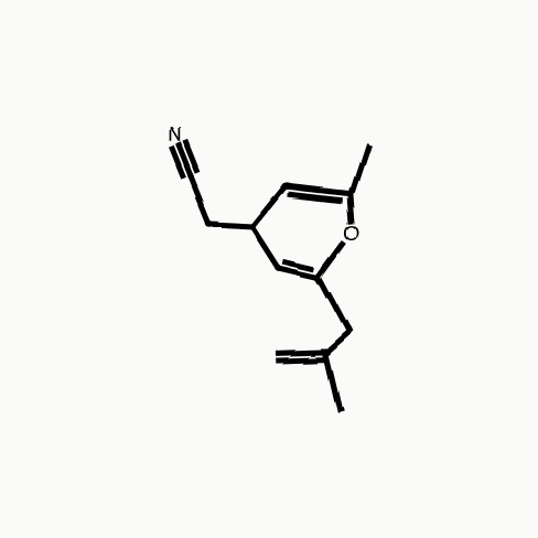 C=C(C)CC1=CC(CC#N)C=C(C)O1